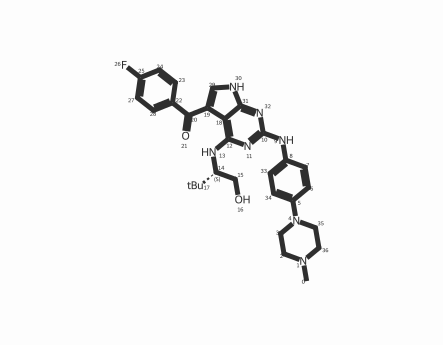 CN1CCN(c2ccc(Nc3nc(N[C@H](CO)C(C)(C)C)c4c(C(=O)c5ccc(F)cc5)c[nH]c4n3)cc2)CC1